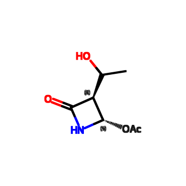 CC(=O)O[C@@H]1NC(=O)[C@H]1C(C)O